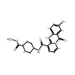 COC(=O)C1CCC(NC(=O)c2cccn3c(=O)c4cc(F)ccc4nc23)CC1